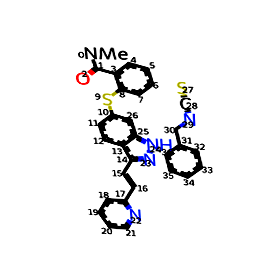 CNC(=O)c1ccccc1Sc1ccc2c(/C=C/c3ccccn3)n[nH]c2c1.S=C=NCc1ccccc1